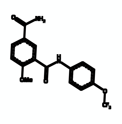 COc1ccc(C(N)=O)cc1C(=O)Nc1ccc(OC(F)(F)F)cc1